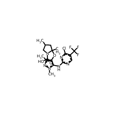 Cc1nn(C)c(Nc2ncc(C(F)(F)F)c(Cl)n2)c1OC1(C)CC(C)CN1C(=O)O